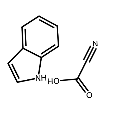 N#CC(=O)O.c1ccc2[nH]ccc2c1